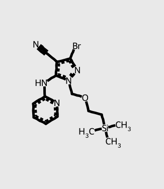 C[Si](C)(C)CCOCn1nc(Br)c(C#N)c1Nc1ccccn1